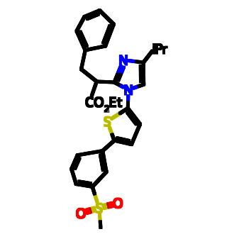 CCOC(=O)C(Cc1ccccc1)c1nc(C(C)C)cn1-c1ccc(-c2cccc(S(C)(=O)=O)c2)s1